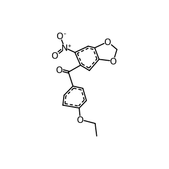 CCOc1ccc(C(=O)c2cc3c(cc2[N+](=O)[O-])OCO3)cc1